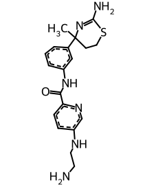 CC1(c2cccc(NC(=O)c3ccc(NCCN)cn3)c2)CCSC(N)=N1